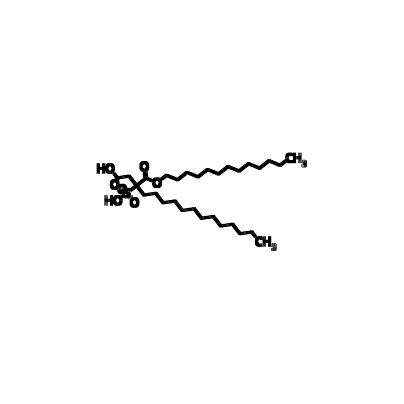 CCCCCCCCCCCCCOC(=O)C(CCCCCCCCCCCCC)(CC(=O)O)S(=O)(=O)O